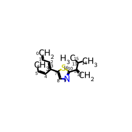 C=C/C=C(\C=C/C)c1cnc(C(=C)C(C)C)s1